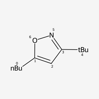 CCCCc1cc(C(C)(C)C)no1